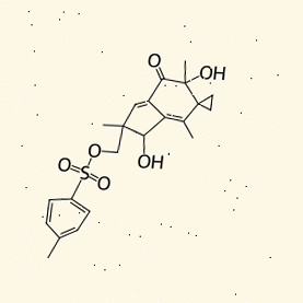 CC1=C2C(=CC(C)(COS(=O)(=O)c3ccc(C)cc3)C2O)C(=O)C(C)(O)C12CC2